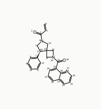 C=CC(=O)N1C[C@H](c2ccccc2)C2(C1)CN(C(=O)c1cccc3cccnc13)C2